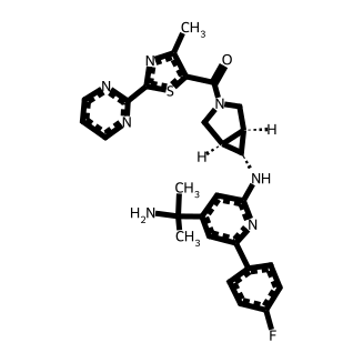 Cc1nc(-c2ncccn2)sc1C(=O)N1C[C@@H]2[C@H](C1)[C@H]2Nc1cc(C(C)(C)N)cc(-c2ccc(F)cc2)n1